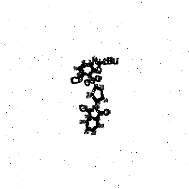 CC(C)(C)c1nc2ccc(Cl)c(S(=O)(=O)[C@@H]3CC[C@H](N4C(=O)c5ccccc5C4=O)C3)c2o1